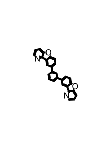 c1cc(-c2ccc3oc4cccnc4c3c2)cc(-c2ccc3oc4cccnc4c3c2)c1